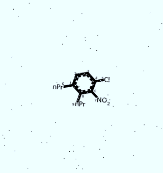 CCCc1ccc(Cl)c([N+](=O)[O-])c1CCC